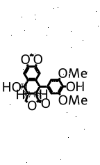 COc1cc(C2c3cc4c(cc3[C@H](O)[C@H]3COC(=O)[C@H]23)OCO4)cc(OC)c1O